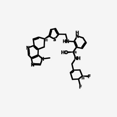 Cn1cnc2cnc3c(c21)C[C@H](c1ccc(CNC2=C([C@H](O)NCC4=CCC(F)[C@H](F)C4)C=CCN2)s1)C=C3